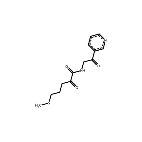 CSCCCC(=O)C(=O)NCC(=O)c1cccnc1